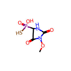 CON1C(=O)NC(P(=O)(O)S)C1=O